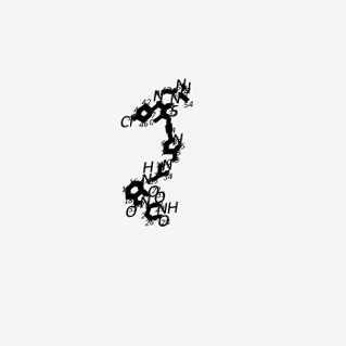 Cc1c(C#Cc2ccc(CN3CC(CNc4cccc5c4C(=O)N(C4CCC(=O)NC4=O)C5=O)C3)cn2)sc2c1C(c1ccc(Cl)cc1)=NCc1nnc(C)n1-2